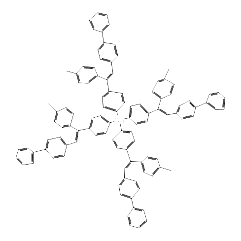 Cc1ccc(C(=Cc2ccc(-c3ccccc3)cc2)c2cc[c]([Sn]([c]3ccc(C(=Cc4ccc(-c5ccccc5)cc4)c4ccc(C)cc4)cc3)([c]3ccc(C(=Cc4ccc(-c5ccccc5)cc4)c4ccc(C)cc4)cc3)[c]3ccc(C(=Cc4ccc(-c5ccccc5)cc4)c4ccc(C)cc4)cc3)cc2)cc1